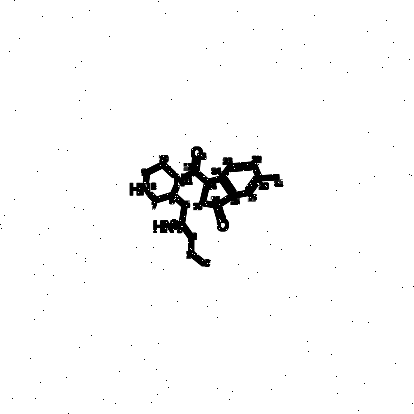 CCCC(=N)CC1CNCCN1C(=O)C1CC(=O)c2cc(C)ccc21